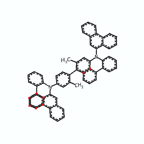 Cc1cc(N(c2ccccc2-c2ccccc2)c2cc3ccccc3c3ccccc23)ccc1-c1ccc(N(c2ccccc2-c2ccccc2)c2cc3ccccc3c3ccccc23)cc1C